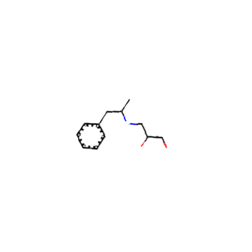 CC(Cc1ccccc1)NCC(O)CO